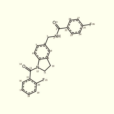 O=C(NCc1ccc2c(c1)CCN2C(=O)c1ccccc1F)c1ccc(F)cc1